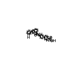 O=C(NO)c1cnc(N2CCC(CNC(=O)c3cccc4cn(C5CCCNC5)nc34)CC2)nc1